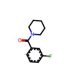 O=C(c1[c]ccc(F)c1)N1CCCCC1